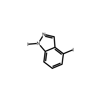 Ic1cccc2c1cnn2I